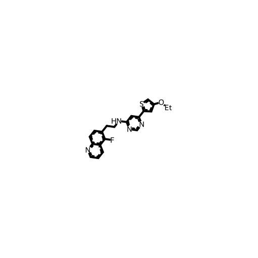 CCOc1csc(-c2cc(NCCc3ccc4ncccc4c3F)ncn2)c1